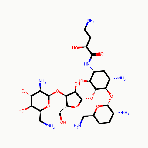 NCC[C@H](O)C(=O)N[C@@H]1C[C@H](N)[C@@H](O[C@H]2O[C@H](CN)CC[C@H]2N)[C@H](O[C@@H]2O[C@H](CO)[C@@H](O[C@H]3O[C@@H](CN)[C@@H](O)[C@H](O)[C@H]3N)[C@H]2O)[C@H]1O